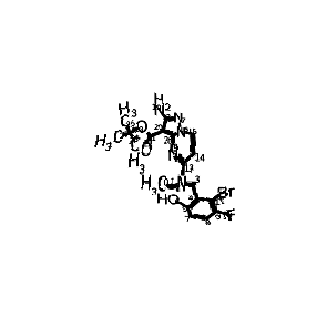 CCN(Cc1c(O)ccc(F)c1Br)c1ccn2nc(N)c(C(=O)OC(C)(C)C)c2n1